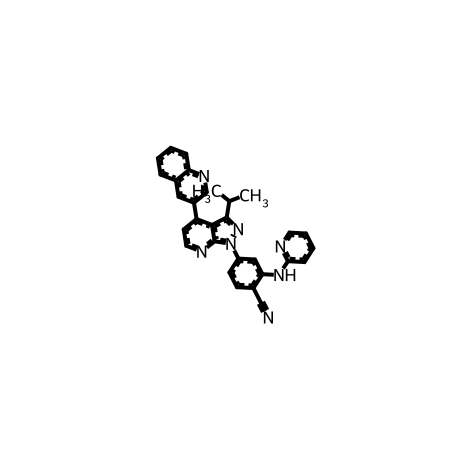 CC(C)c1nn(-c2ccc(C#N)c(Nc3ccccn3)c2)c2nccc(-c3cnc4ccccc4c3)c12